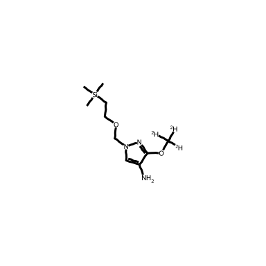 [2H]C([2H])([2H])Oc1nn(COCC[Si](C)(C)C)cc1N